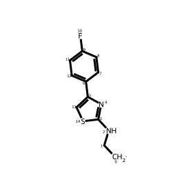 [CH2]CNc1nc(-c2ccc(F)cc2)cs1